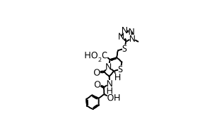 Cn1nnnc1SCC1=C(C(=O)O)N2C(=O)C(NC(=O)C(O)c3ccccc3)[C@H]2SC1